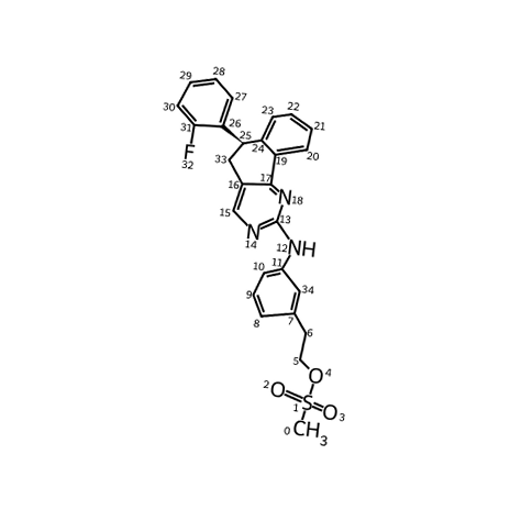 CS(=O)(=O)OCCc1cccc(Nc2ncc3c(n2)-c2ccccc2[C@H](c2ccccc2F)C3)c1